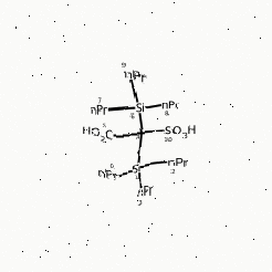 CCC[Si](CCC)(CCC)C(C(=O)O)([Si](CCC)(CCC)CCC)S(=O)(=O)O